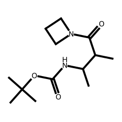 CC(NC(=O)OC(C)(C)C)C(C)C(=O)N1CCC1